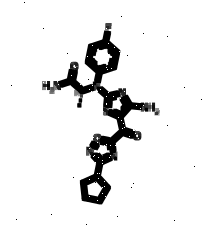 C[C@H](C(N)=O)N(c1ccc(F)cc1)c1nc(N)c(C(=O)c2nc(C3CCCC3)no2)s1